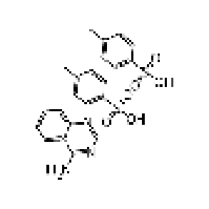 Cc1ccc(S(=O)(=O)O)cc1.Cc1ccc(S(=O)(=O)O)cc1.Nc1ncnc2ccccc12